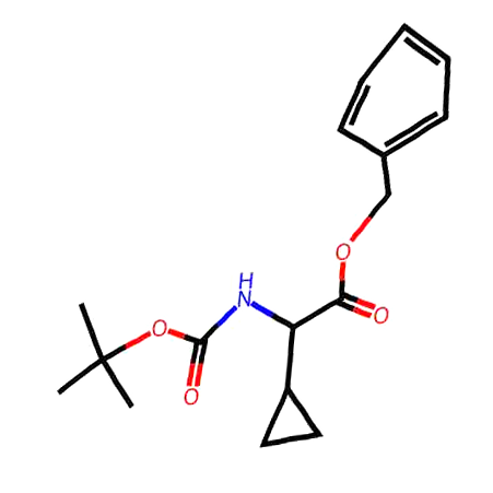 CC(C)(C)OC(=O)NC(C(=O)OCc1ccccc1)C1CC1